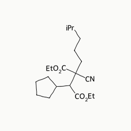 CCOC(=O)C(C1CCCC1)C(C#N)(CCCC(C)C)C(=O)OCC